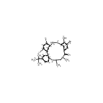 CC1CN(C)C(=O)c2cc(Br)c(O)c(c2)SNc2cc(c(F)cc2F)-c2cc(C(C)(C)C)ccc2O1